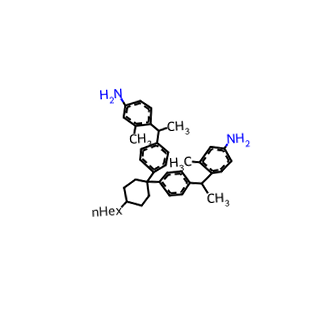 CCCCCCC1CCC(c2ccc(C(C)c3ccc(N)cc3C)cc2)(c2ccc(C(C)c3ccc(N)cc3C)cc2)CC1